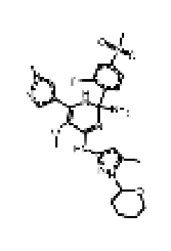 COC1=C(c2cnn(C)c2)NC(N)(c2ccc(S(C)(=O)=O)cc2F)N=C1Nc1cc(C)n(C2CCCCO2)n1